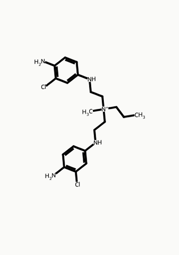 CCC[N+](C)(CCNc1ccc(N)c(Cl)c1)CCNc1ccc(N)c(Cl)c1